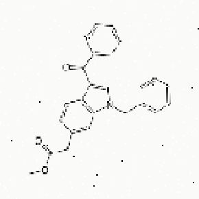 COC(=O)Cc1ccc2c(C(=O)c3ccccc3)cn(Cc3ccccc3)c2c1